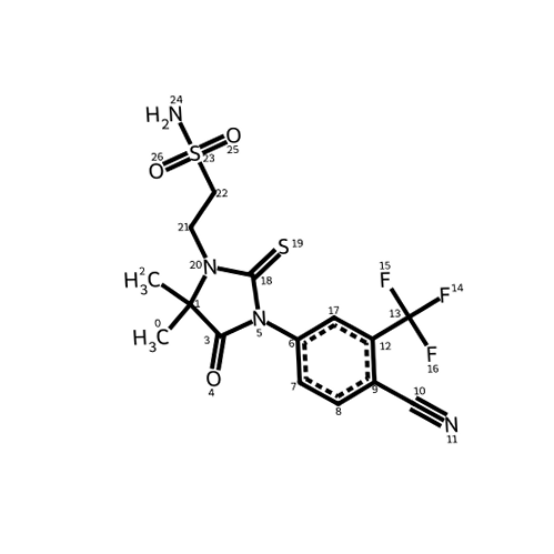 CC1(C)C(=O)N(c2ccc(C#N)c(C(F)(F)F)c2)C(=S)N1CCS(N)(=O)=O